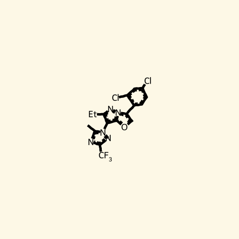 CCc1nn2c(-c3ccc(Cl)cc3Cl)coc2c1-n1nc(C(F)(F)F)nc1C